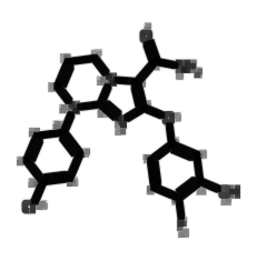 NC(=O)c1c(Oc2ccc(F)c(O)c2)nc2n1CC=CN2c1ccc(Cl)cc1